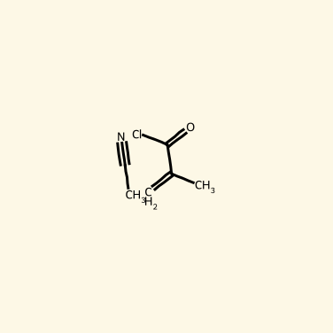 C=C(C)C(=O)Cl.CC#N